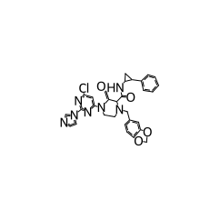 O=C=C1C(C(=O)NC2CC2c2ccccc2)N(Cc2ccc3c(c2)OCO3)CCN1c1cc(Cl)nc(-n2ccnc2)n1